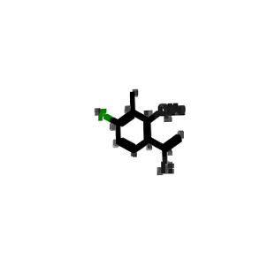 C=C(CC)c1ccc(F)c(C)c1OC